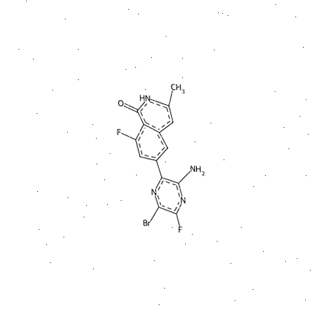 Cc1cc2cc(-c3nc(Br)c(F)nc3N)cc(F)c2c(=O)[nH]1